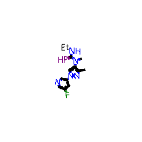 CCNC(=P)N(C)c1cn(-c2cncc(F)c2)nc1C